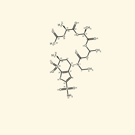 CCN(C(=O)OC(C)OC(=O)[C@H](C)OC(=O)[C@H](C)OC(C)=O)[C@H]1C[C@H](C)S(=O)(=O)c2sc(S(N)(=O)=O)cc21